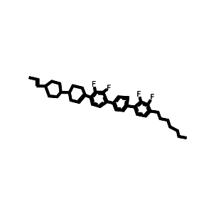 C/C=C/C1CCC(C2CC=C(c3ccc(-c4ccc(-c5ccc(CCCCCCC)c(F)c5F)cc4)c(F)c3F)CC2)CC1